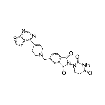 O=C1CCN(N2C(=O)c3ccc(CN4CC=C(c5ncnc6sccc56)CC4)cc3C2=O)C(=O)N1